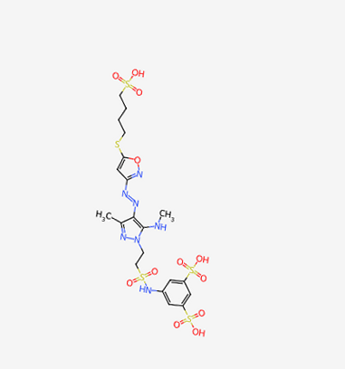 CNc1c(N=Nc2cc(SCCCCS(=O)(=O)O)on2)c(C)nn1CCS(=O)(=O)Nc1cc(S(=O)(=O)O)cc(S(=O)(=O)O)c1